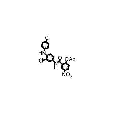 CC(=O)Oc1ccc([N+](=O)[O-])cc1C(=O)Nc1ccc(Nc2ccc(Cl)cc2)c(Cl)c1